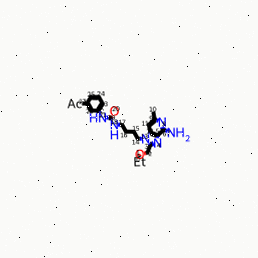 CCOCc1nc2c(N)nc(C)cc2n1CCCCNC(=O)Nc1cccc(C(C)=O)c1